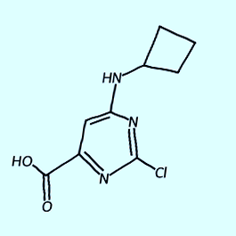 O=C(O)c1cc(NC2CCC2)nc(Cl)n1